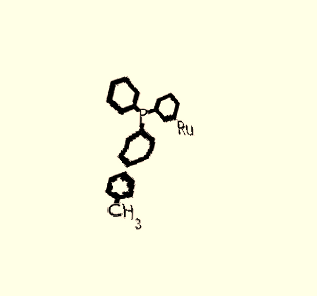 C1CCC(P(C2CCCCC2)C2CCCCC2)CC1.Cc1ccccc1.[Ru]